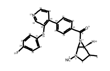 CC1CN(C#N)C2[C@@H]1N2C(=O)c1ccc(-c2ccncc2Sc2ccc(F)cc2)cc1